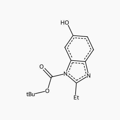 CCc1nc2ccc(O)cc2n1C(=O)OC(C)(C)C